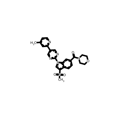 Cc1ccnc(-c2cnc(-n3cc(S(C)(=O)=O)c4ccc(C(=O)N5CCOCC5)cc43)nc2)c1